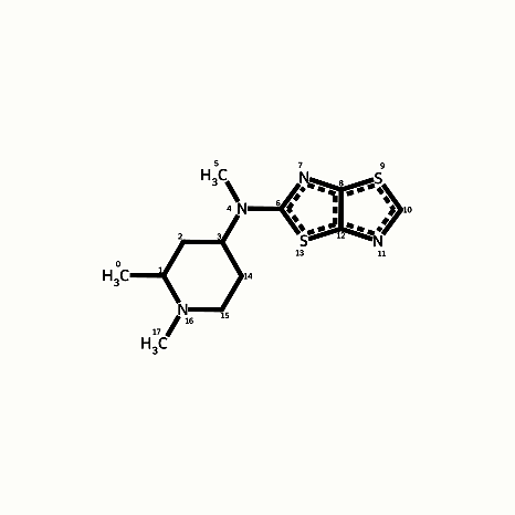 CC1CC(N(C)c2nc3scnc3s2)CCN1C